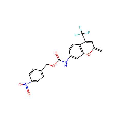 C=C1C=C(C(F)(F)F)c2ccc(NC(=O)OCc3ccc([N+](=O)[O-])cc3)cc2O1